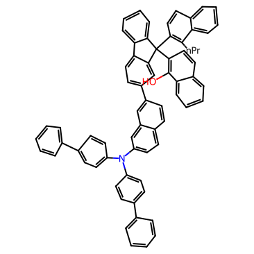 CCCc1c(C2(c3ccc4ccccc4c3O)c3ccccc3-c3ccc(-c4ccc5ccc(N(c6ccc(-c7ccccc7)cc6)c6ccc(-c7ccccc7)cc6)cc5c4)cc32)ccc2ccccc12